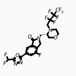 O=C1c2cc(-c3nnc(C(F)F)o3)cc(F)c2CN1C[C@H]1COCCN1CC(F)(F)C(F)(F)C(F)(F)F